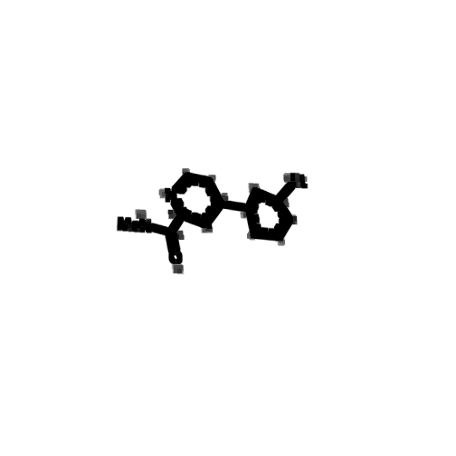 CCc1cccc(-c2ccnc(C(=O)NC)c2)c1